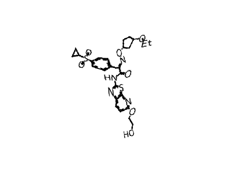 CCO[C@@H]1CC[C@@H](O/N=C(/C(=O)Nc2nc3ccc(OCCO)nc3s2)c2ccc(S(=O)(=O)C3CC3)cc2)C1